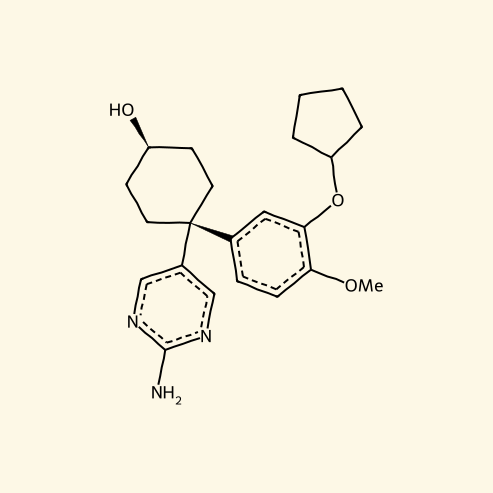 COc1ccc([C@]2(c3cnc(N)nc3)CC[C@H](O)CC2)cc1OC1CCCC1